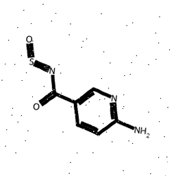 Nc1ccc(C(=O)N=S=O)cn1